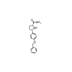 NC(=O)[C@@H]1CC[C@H](c2ccc(OCc3ccccc3)cc2)N1